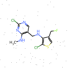 CNc1nc(Cl)ncc1CNc1c(CF)csc1Cl